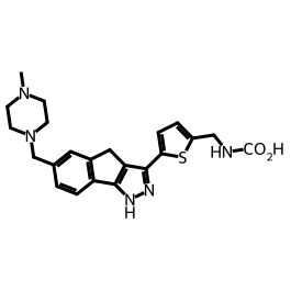 CN1CCN(Cc2ccc3c(c2)Cc2c(-c4ccc(CNC(=O)O)s4)n[nH]c2-3)CC1